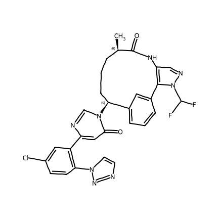 C[C@@H]1CCC[C@H](n2cnc(-c3cc(Cl)ccc3-n3ccnn3)cc2=O)c2cccc(c2)-c2c(cnn2C(F)F)NC1=O